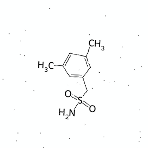 Cc1cc(C)cc(CS(N)(=O)=O)c1